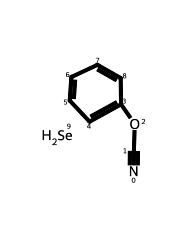 N#COc1ccccc1.[SeH2]